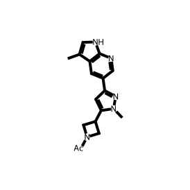 CC(=O)N1CC(c2cc(-c3cnc4[nH]cc(C)c4c3)nn2C)C1